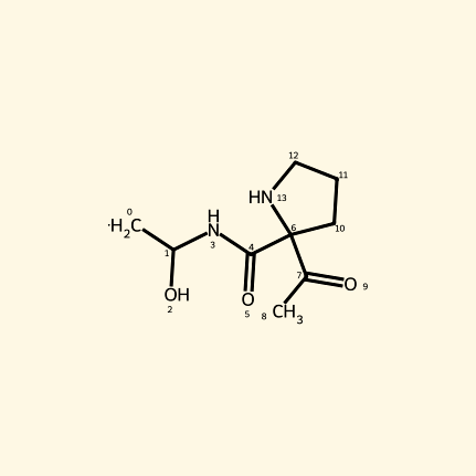 [CH2]C(O)NC(=O)C1(C(C)=O)CCCN1